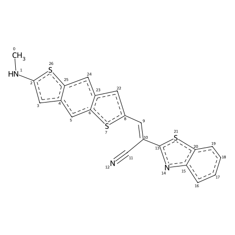 CNc1cc2cc3sc(/C=C(\C#N)c4nc5ccccc5s4)cc3cc2s1